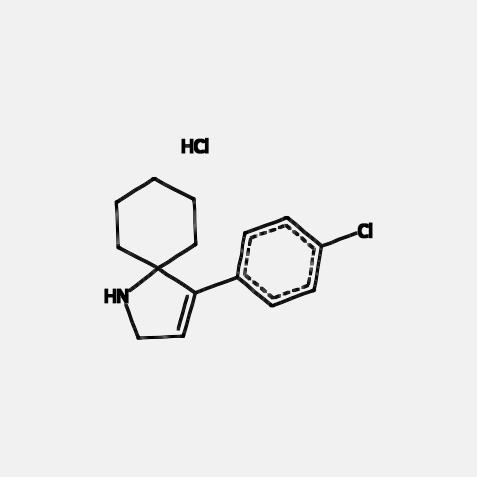 Cl.Clc1ccc(C2=CCNC23CCCCC3)cc1